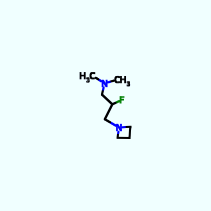 CN(C)CC(F)CN1CCC1